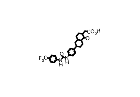 O=C(O)CC1CCC2CC(c3ccc(NC(=O)Nc4ccc(C(F)(F)F)cc4)cc3)CCC2C1=O